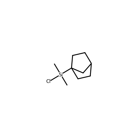 C[Si](C)(Cl)C12CCC(CC1)C2